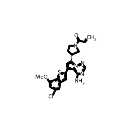 C=CC(=O)N1CC[C@@H](c2cc(-c3cc4cc(Cl)cc(OC)c4s3)c3c(N)ncnn23)C1